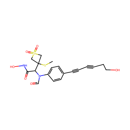 CSC1(C(C(=O)NO)N(C=O)c2ccc(C#CC#CCCO)cc2)CS(=O)(=O)C1